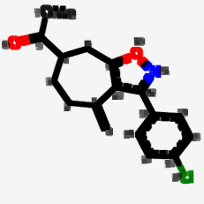 C=C1CCC(C(=O)OC)Cc2onc(-c3ccc(Cl)cc3)c21